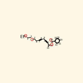 CCOCCOCCC#CCC#CC(C)OC(=O)c1ccccc1